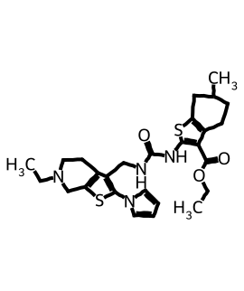 CCOC(=O)c1c(NC(=O)NCc2c(-n3cccc3)sc3c2CCN(CC)C3)sc2c1CCC(C)C2